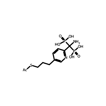 CC(=O)SCCCc1ccc(C(N)(P(=O)(O)O)P(=O)(O)O)nc1